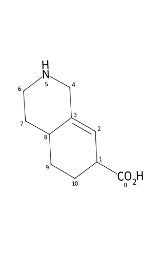 O=C(O)C1C=C2CNCCC2CC1